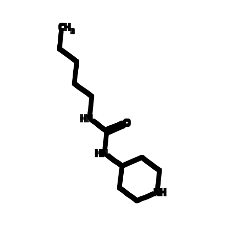 CCCCCNC(=O)NC1CCNCC1